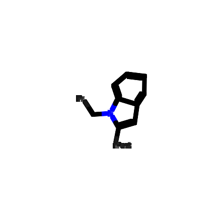 CCCCCc1cc2ccccc2n1CC(C)C